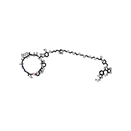 CO[C@H]1C[C@@H]2CC[C@@H](C)[C@@](O)(O2)C(=O)C(=O)N2CCCC[C@H]2C(=O)O[C@H]([C@H](N)C[C@@H]2CC[C@@H](OCCCCc3cn(CCOCCOCCOCCOCCOCCOCCC(=O)N4CCC(Cn5nc(-c6ccc7oc(N)nc7c6)c6c(N)ncnc65)CC4)nn3)[C@H](OC)C2)CC(=O)[C@H](C)/C=C(\C)[C@@H](O)[C@@H](O)C(=O)[C@H](C)C[C@H](C)/C=C/C=C/C=C/1C